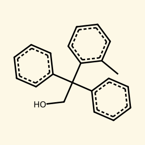 Cc1ccccc1C(CO)(c1ccccc1)c1ccccc1